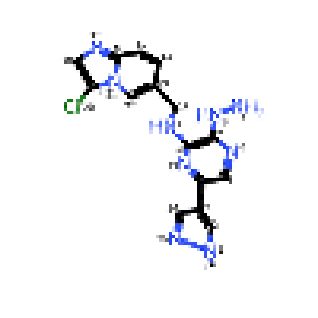 Cn1cc(-c2cnc(NN)c(NCc3ccc4ncc(Cl)n4c3)n2)cn1